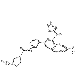 CCOc1ccc2nc(-c3cccc(NC(=O)C4CCN(C)C4)c3)nc(Nc3cn[nH]c3)c2c1